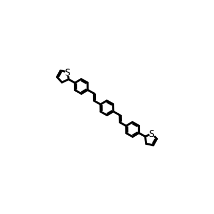 C1=CSC(c2ccc(/C=C/c3ccc(/C=C/c4ccc(C5CC=CS5)cc4)cc3)cc2)C1